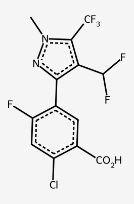 Cn1nc(-c2cc(C(=O)O)c(Cl)cc2F)c(C(F)F)c1C(F)(F)F